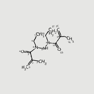 C=C(C)C(=O)N(CC)NN(CC)C(=O)C(=C)C